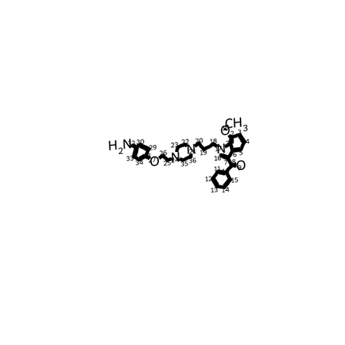 COc1cccc2c(C(=O)c3ccccc3)cn(CCCN3CCN(CCOc4ccc(N)cc4)CC3)c12